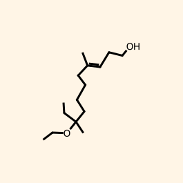 CCOC(C)(CC)CCCCC(C)=CCCO